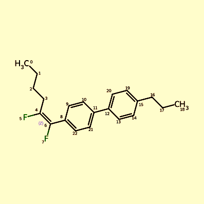 CCCC/C(F)=C(/F)c1ccc(-c2ccc(CCC)cc2)cc1